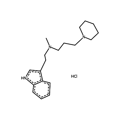 CN(CCCN1CCCCC1)CCc1c[nH]c2ccccc12.Cl